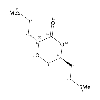 CSCC[C@H]1CO[C@H](CCSC)C(=O)O1